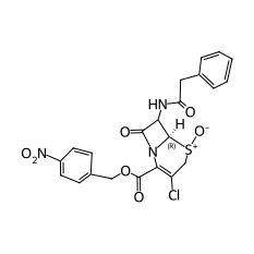 O=C(Cc1ccccc1)NC1C(=O)N2C(C(=O)OCc3ccc([N+](=O)[O-])cc3)=C(Cl)C[S+]([O-])[C@H]12